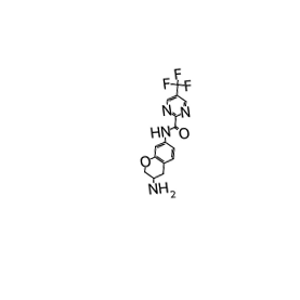 NC1COc2cc(NC(=O)c3ncc(C(F)(F)F)cn3)ccc2C1